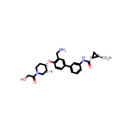 NCc1cc(-c2cccc(NC(=O)[C@@H]3C[C@H]3C(=O)O)c2)ccc1O[C@H]1CCN(C(=O)CO)C[C@H]1F